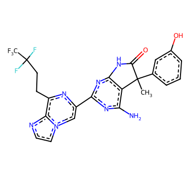 CC1(c2cccc(O)c2)C(=O)Nc2nc(-c3cn4ccnc4c(CCC(F)(F)C(F)(F)F)n3)nc(N)c21